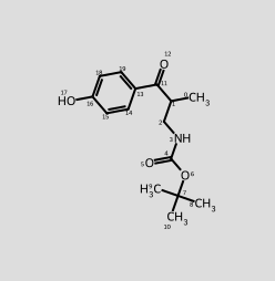 CC(CNC(=O)OC(C)(C)C)C(=O)c1ccc(O)cc1